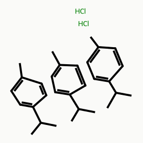 Cc1ccc(C(C)C)cc1.Cc1ccc(C(C)C)cc1.Cc1ccc(C(C)C)cc1.Cl.Cl